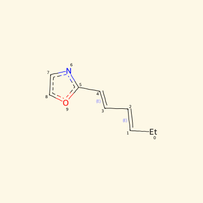 [CH2]C/C=C/C=C/c1ncco1